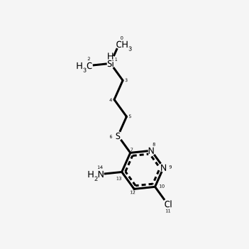 C[SiH](C)CCCSc1nnc(Cl)cc1N